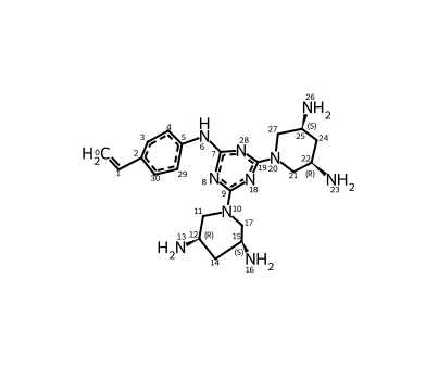 C=Cc1ccc(Nc2nc(N3C[C@H](N)C[C@H](N)C3)nc(N3C[C@H](N)C[C@H](N)C3)n2)cc1